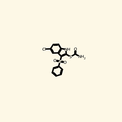 NC(=O)Sc1[nH]c2ccc(Cl)cc2c1S(=O)(=O)c1ccccc1